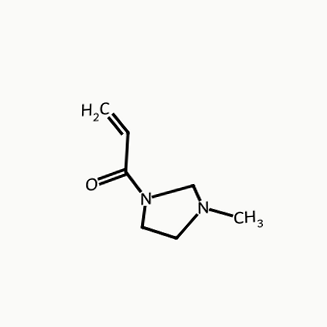 C=CC(=O)N1CCN(C)C1